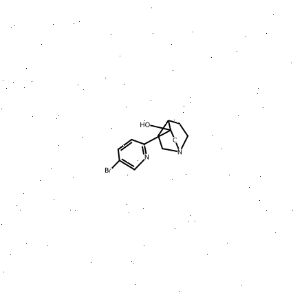 OC1(c2ccc(Br)cn2)CN2CCC1CC2